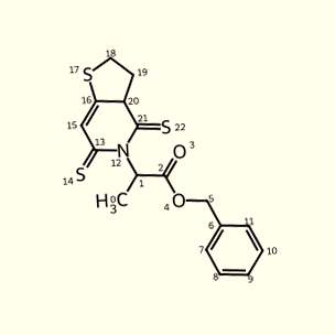 CC(C(=O)OCc1ccccc1)N1C(=S)C=C2SCCC2C1=S